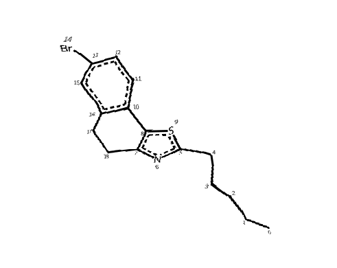 CCCCCc1nc2c(s1)-c1ccc(Br)cc1CC2